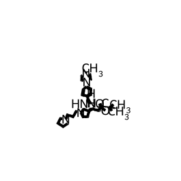 CN1CCN(c2ccc(C3NC(CC(=O)OC(C)(C)C)=C4CCN(CCCN5CCCC5)C4N3)cc2)CC1